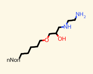 CCCCCCCCCCCCCCOCC(O)CNCCN